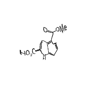 COC(=O)c1cccc2[nH]c(C(=O)O)cc12